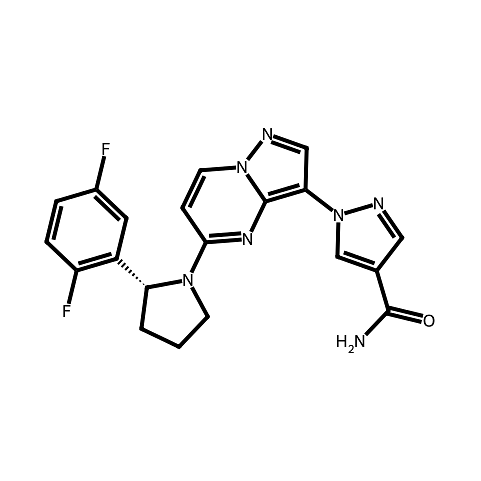 NC(=O)c1cnn(-c2cnn3ccc(N4CCC[C@@H]4c4cc(F)ccc4F)nc23)c1